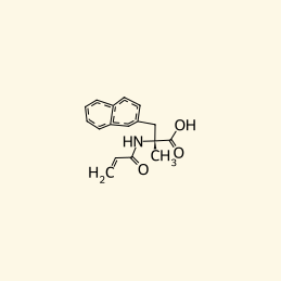 C=CC(=O)N[C@](C)(Cc1ccc2ccccc2c1)C(=O)O